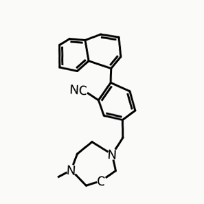 CN1CCCN(Cc2ccc(-c3cccc4ccccc34)c(C#N)c2)CC1